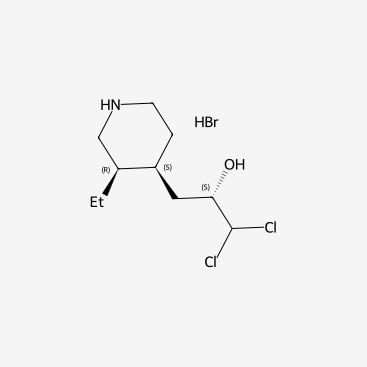 Br.CC[C@H]1CNCC[C@H]1C[C@H](O)C(Cl)Cl